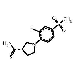 CS(=O)(=O)c1ccc(N2CC[C@H](C(N)=S)C2)c(F)c1